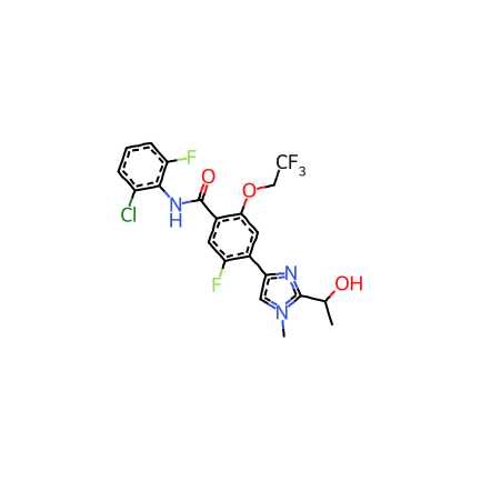 CC(O)c1nc(-c2cc(OCC(F)(F)F)c(C(=O)Nc3c(F)cccc3Cl)cc2F)cn1C